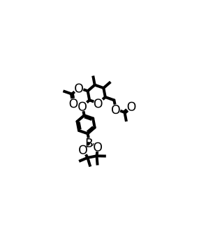 CC(=O)OCC1OC(Oc2ccc(B3OC(C)(C)C(C)(C)O3)cc2)C(OC(C)=O)C(C)C1C